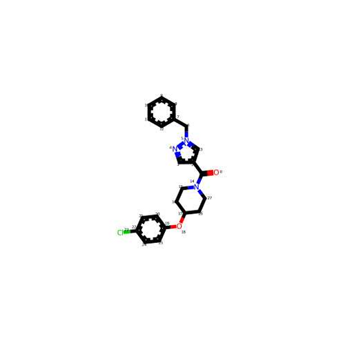 O=C(c1cnn(Cc2ccccc2)c1)N1CCC(Oc2ccc(Cl)cc2)CC1